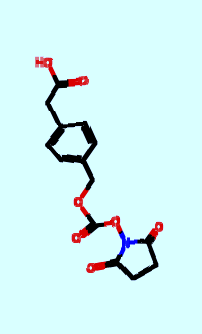 O=C(O)Cc1ccc(COC(=O)ON2C(=O)CCC2=O)cc1